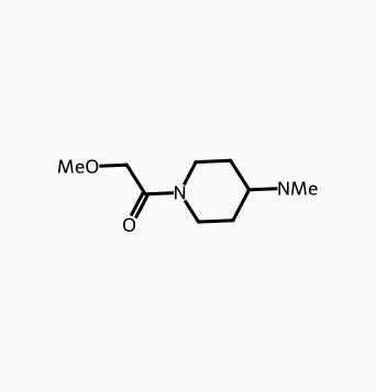 CNC1CCN(C(=O)COC)CC1